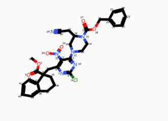 COC(=O)C1(Cc2nc(Cl)nc(N3CCN(C(=O)OCc4ccccc4)C(CC#N)C3)c2[N+](=O)[O-])CCCc2ccccc21